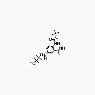 COC(C)(C)C(C)(C)OBc1ccc(NC(=O)OC(C)(C)C)c(C(C)=N)c1